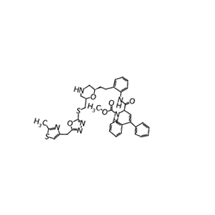 COC(=O)NC(C=C(c1ccccc1)c1ccccc1)C(=O)Nc1ccccc1CC[C@@H]1CNCC(CSc2nnc(Cc3csc(C)n3)o2)O1